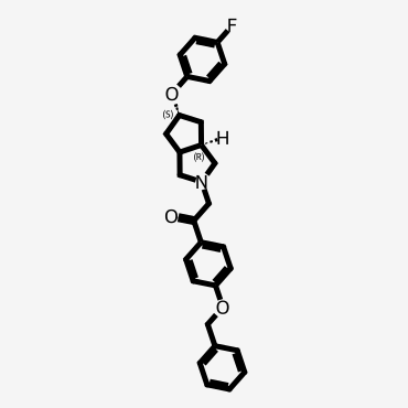 O=C(CN1CC2C[C@H](Oc3ccc(F)cc3)C[C@H]2C1)c1ccc(OCc2ccccc2)cc1